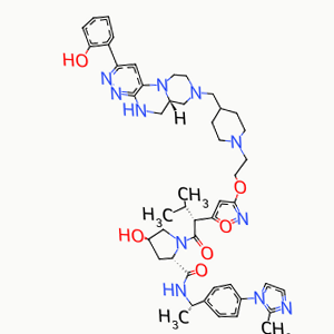 Cc1nccn1-c1ccc([C@H](C)NC(=O)[C@@H]2C[C@@H](O)CN2C(=O)[C@@H](c2cc(OCCN3CCC(CN4CCN5c6cc(-c7ccccc7O)nnc6NC[C@H]5C4)CC3)no2)C(C)C)cc1